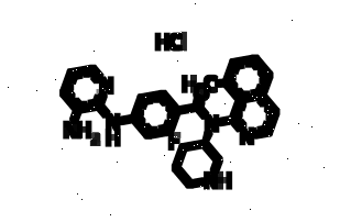 Cc1cccc2ccnc(N(C(=O)c3ccc(Nc4ncccc4N)cc3F)[C@@H]3CCCNC3)c12.Cl